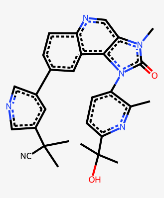 Cc1nc(C(C)(C)O)ccc1-n1c(=O)n(C)c2cnc3ccc(-c4cncc(C(C)(C)C#N)c4)cc3c21